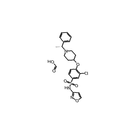 C[C@H](c1ccccc1)N1CCC(Oc2ccc(S(=O)(=O)Nc3ccon3)cc2Cl)CC1.O=CO